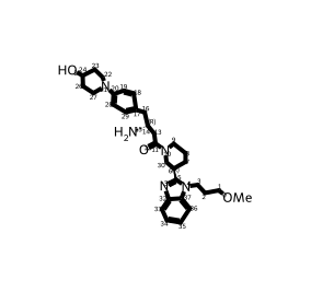 COCCCn1c([C@@H]2CCCN(C(=O)C[C@H](N)Cc3ccc(N4CCC(O)CC4)cc3)C2)nc2ccccc21